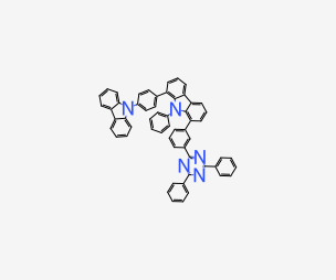 c1ccc(-c2nc(-c3ccccc3)nc(-c3cccc(-c4cccc5c6cccc(-c7ccc(-n8c9ccccc9c9ccccc98)cc7)c6n(-c6ccccc6)c45)c3)n2)cc1